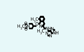 Cc1cccc2cc(C(C)Nc3ncnc4[nH]cnc34)nc(OCC3CCN(S(C)(=O)=O)CC3)c12